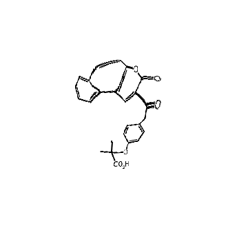 CC(C)(Oc1ccc(C(=O)c2cc3c(ccc4ccccc43)oc2=O)cc1)C(=O)O